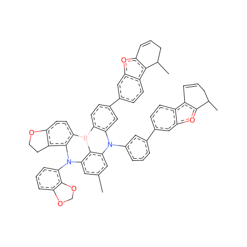 Cc1cc2c3c(c1)N(c1cccc4c1OCO4)c1c(ccc4c1CCO4)B3c1ccc(-c3ccc4c5c(oc4c3)C=CCC5C)cc1N2c1cccc(-c2ccc3c4c(oc3c2)C(C)CC=C4)c1